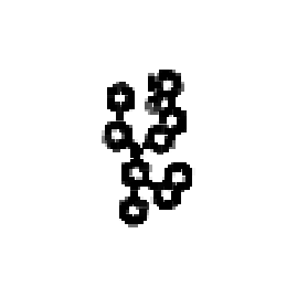 c1ccc(-c2cccc(N(c3ccc(-c4ccccc4)c(-c4cccc5ccccc45)c3)c3ccc4ccc5c6cccnc6oc5c4c3)c2)cc1